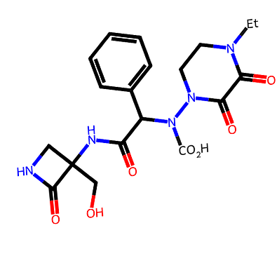 CCN1CCN(N(C(=O)O)C(C(=O)NC2(CO)CNC2=O)c2ccccc2)C(=O)C1=O